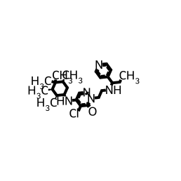 CCC(NCCn1ncc(N[C@@H]2C[C@H](C)C(C)(C)[C@H](C)[C@H]2C)c(Cl)c1=O)c1ccncc1